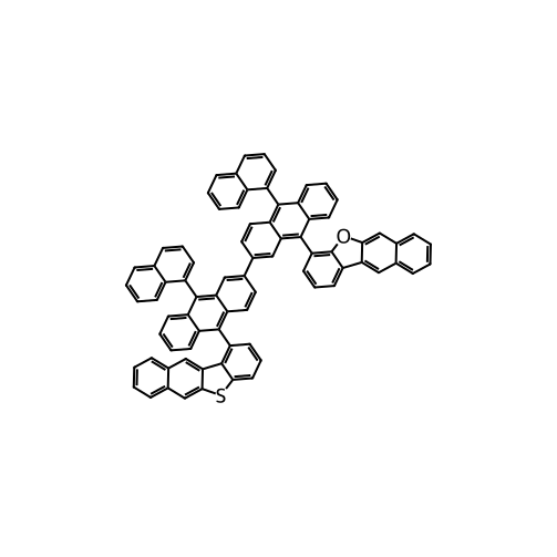 c1ccc2cc3c(cc2c1)oc1c(-c2c4ccccc4c(-c4cccc5ccccc45)c4ccc(-c5ccc6c(-c7cccc8sc9cc%10ccccc%10cc9c78)c7ccccc7c(-c7cccc8ccccc78)c6c5)cc24)cccc13